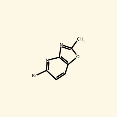 Cc1nc2nc(Br)ccc2o1